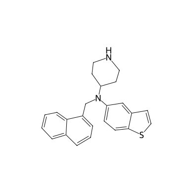 c1ccc2c(CN(c3ccc4sccc4c3)C3CCNCC3)cccc2c1